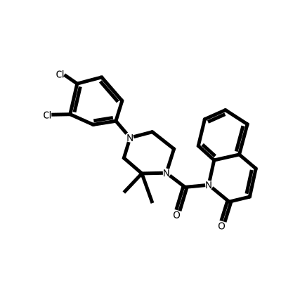 CC1(C)CN(c2ccc(Cl)c(Cl)c2)CCN1C(=O)n1c(=O)ccc2ccccc21